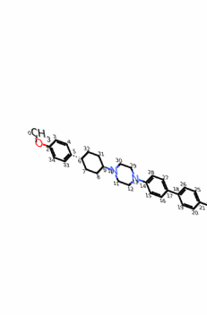 COc1ccc([C@H]2CC[C@H](N3CCN(c4ccc(-c5ccc(C(=O)O)cc5)cc4)CC3)CC2)cc1